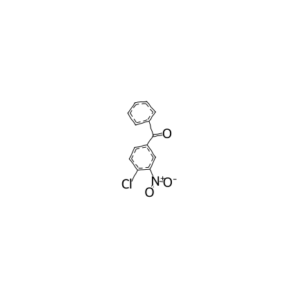 O=C(c1ccccc1)c1ccc(Cl)c([N+](=O)[O-])c1